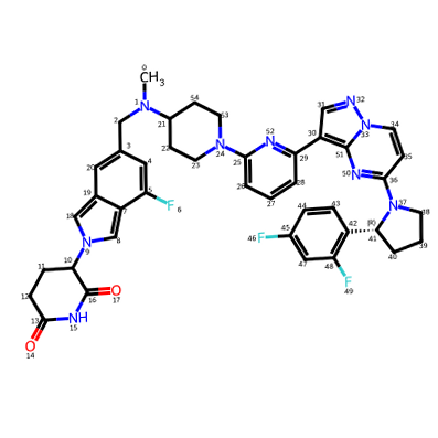 CN(Cc1cc(F)c2cn(C3CCC(=O)NC3=O)cc2c1)C1CCN(c2cccc(-c3cnn4ccc(N5CCC[C@@H]5c5ccc(F)cc5F)nc34)n2)CC1